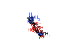 Cn1c(=O)c(F)cn([C@H]2CC(OP(=O)(O)OC[C@H]3O[C@@H](n4cnc5c(=S)[nH]c(N)nc54)CC3O)[C@@H](CO)O2)c1=O